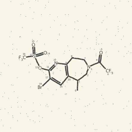 CC1CN(C(=O)C(F)(F)F)CCc2nc(OS(=O)(=O)C(F)(F)F)c(Br)cc21